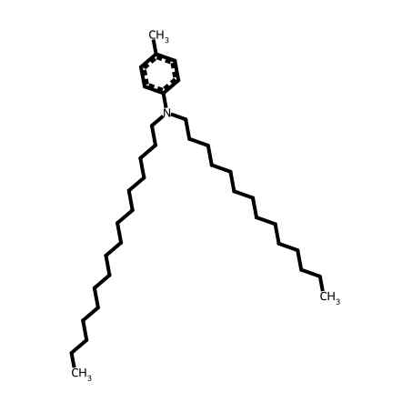 CCCCCCCCCCCCCCCCN(CCCCCCCCCCCCCC)c1ccc(C)cc1